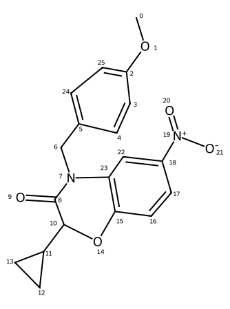 COc1ccc(CN2C(=O)C(C3CC3)Oc3ccc([N+](=O)[O-])cc32)cc1